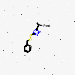 CCCCCC(C)c1nc(SSCc2ccccc2)n[nH]1